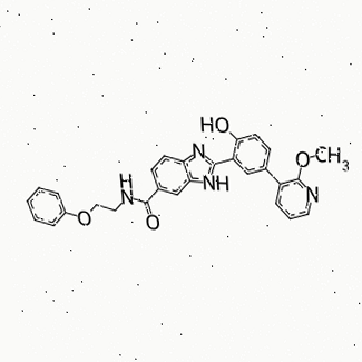 COc1ncccc1-c1ccc(O)c(-c2nc3ccc(C(=O)NCCOc4ccccc4)cc3[nH]2)c1